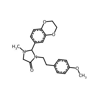 COc1ccc(CCN2C(=O)CN(C)C2c2ccc3c(c2)OCCO3)cc1